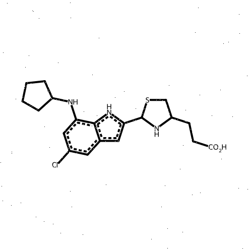 O=C(O)CCC1CSC(c2cc3cc(Cl)cc(NC4CCCC4)c3[nH]2)N1